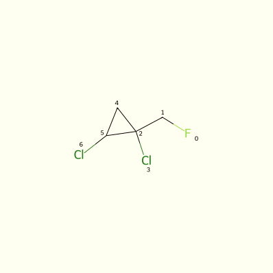 FCC1(Cl)CC1Cl